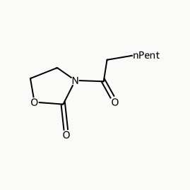 CCCCCCC(=O)N1CCOC1=O